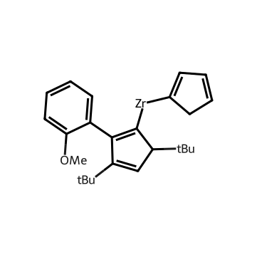 COc1ccccc1C1=[C]([Zr][C]2=CC=CC2)C(C(C)(C)C)C=C1C(C)(C)C